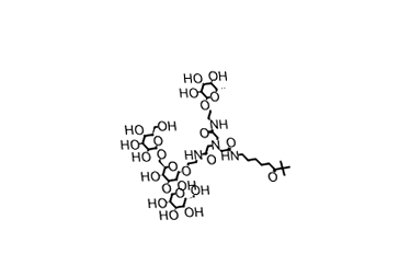 C[C@@H]1O[C@@H](OCCNC(=O)CN(CC(=O)NCCCCCC(=O)C(C)(C)C)CC(=O)NCCO[C@H]2O[C@H](CO[C@H]3O[C@H](CO)[C@@H](O)[C@H](O)[C@@H]3O)[C@@H](O)[C@H](O[C@H]3O[C@H](CO)[C@@H](O)[C@H](O)[C@@H]3O)[C@@H]2O)[C@@H](O)[C@H](O)[C@@H]1O